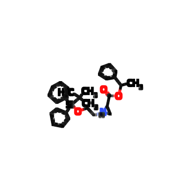 CC(OC(=O)C1C[N@]1CCO[Si](c1ccccc1)(c1ccccc1)C(C)(C)C)c1ccccc1